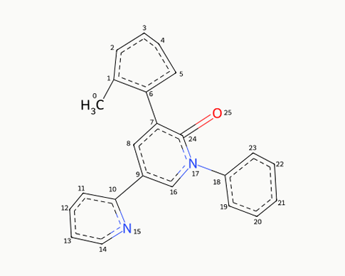 Cc1ccccc1-c1cc(-c2ccccn2)cn(-c2ccccc2)c1=O